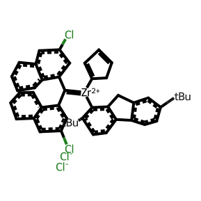 CC(C)(C)c1ccc2c(c1)Cc1c-2ccc(C(C)(C)C)[c]1[Zr+2]([C]1=CC=CC1)=[C](c1cc(Cl)cc2ccccc12)c1cc(Cl)cc2ccccc12.[Cl-].[Cl-]